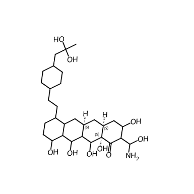 CC(O)(O)CC1CCC(CCC2CCC(O)C3C(O)C4C(O)[C@]5(O)C(=O)C(C(N)O)C(O)C[C@@H]5C[C@@H]4CC23)CC1